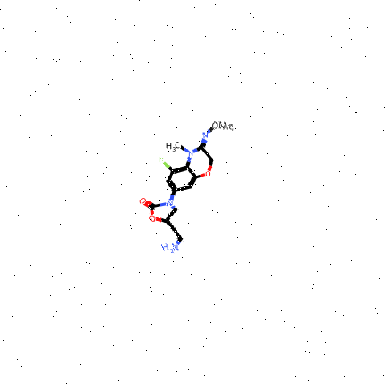 CON=C1COc2cc(N3CC(CN)OC3=O)cc(F)c2N1C